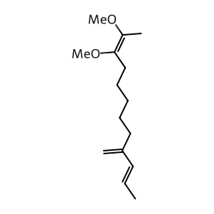 C=C(/C=C/C)CCCCC/C(OC)=C(\C)OC